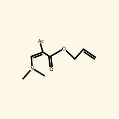 C=CCOC(=O)C(=CN(C)C)C(C)=O